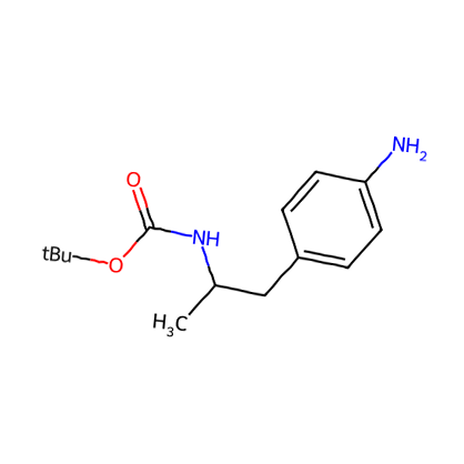 CC(Cc1ccc(N)cc1)NC(=O)OC(C)(C)C